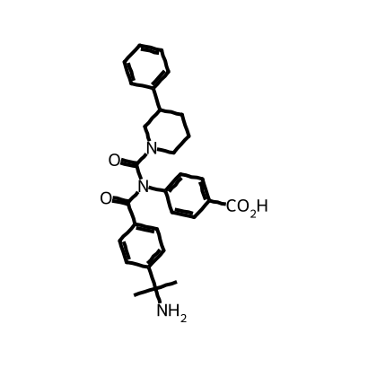 CC(C)(N)c1ccc(C(=O)N(C(=O)N2CCCC(c3ccccc3)C2)c2ccc(C(=O)O)cc2)cc1